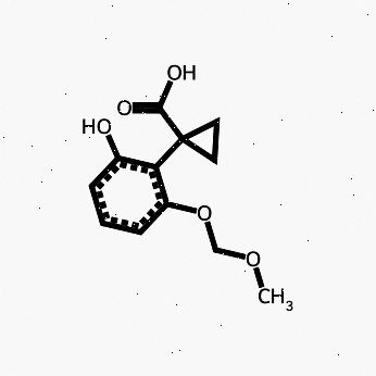 COCOc1cccc(O)c1C1(C(=O)O)CC1